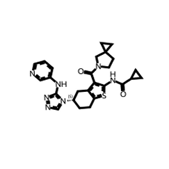 O=C(Nc1sc2c(c1C(=O)N1CCC3(CC3)C1)C[C@@H](n1cnnc1Nc1cccnc1)CC2)C1CC1